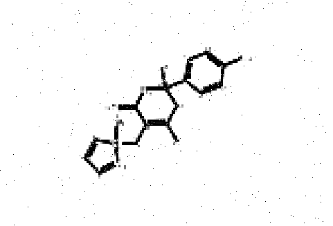 CC1=C(C[N+]2(C(C)C)C=CC=N2)C(=O)NC(C)(c2ccc(Cl)cc2)C1